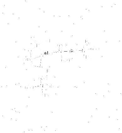 CCCC[N+](CCCC)(CCCC)CCCC.CCCC[N+](CCCC)(CCCC)CCCC.CCCC[N+](CCCC)(CCCC)CCCC.O=P(O)(O)OP1(=O)OC(F)O1